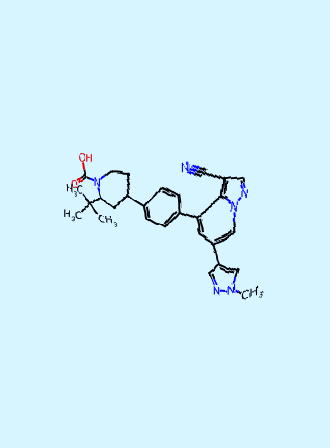 Cn1cc(-c2cc(-c3ccc(C4CCN(C(=O)O)C(C(C)(C)C)C4)cc3)c3c(C#N)cnn3c2)cn1